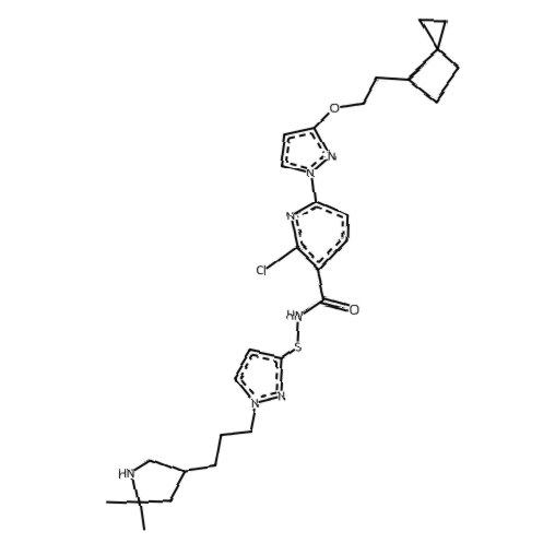 CC1(C)CC(CCCn2ccc(SNC(=O)c3ccc(-n4ccc(OCCC5CCC56CC6)n4)nc3Cl)n2)CN1